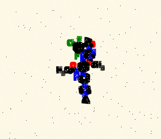 C=CC(=O)Nc1cc(Nc2cc(N3OCCC3c3cc(F)cc(Cl)c3F)ncn2)c(OC)cc1N1CCC(N2CCN(C3CC3)CC2)CC1